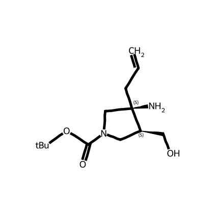 C=CC[C@@]1(N)CN(C(=O)OC(C)(C)C)C[C@@H]1CO